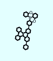 c1ccc(-c2ccc3c4ccc(-c5ccc6c(c5)Oc5cccc7c5B6c5ccccc5O7)cc4c4c5ccccc5c5ccccc5c4c3c2)cc1